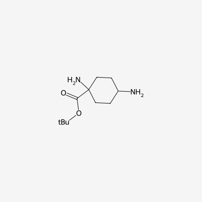 CC(C)(C)OC(=O)C1(N)CCC(N)CC1